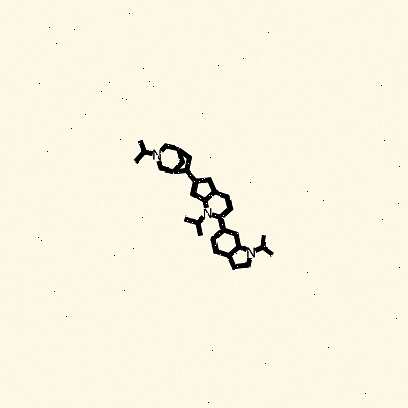 CC(C)N1CC2CC(C1)C(C1CC3CCC(C4CCC5CCN(C(C)C)C5C4)N(C(C)C)C3C1)C2